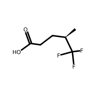 C[C@H](CCC(=O)O)C(F)(F)F